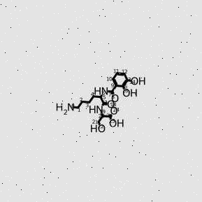 NCCCCC(NC(=O)c1cccc(O)c1O)C(=O)NC(CO)C(=O)O